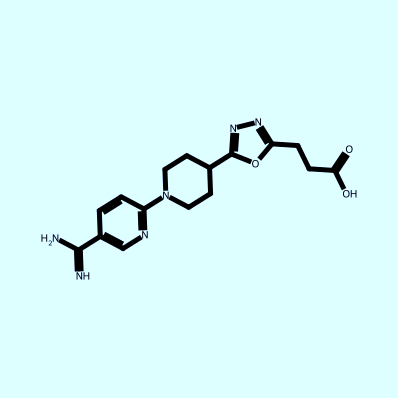 N=C(N)c1ccc(N2CCC(c3nnc(CCC(=O)O)o3)CC2)nc1